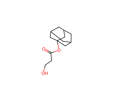 O=C(CCO)OC12CC3CC(CC(C3)C1)C2